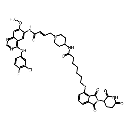 COc1cc2ncnc(Nc3ccc(F)c(Cl)c3)c2cc1NC(=O)C=CCN1CCC(NC(=O)CCCCCCSc2cccc3c2C(=O)N(C2CCC(=O)NC2=O)C3=O)CC1